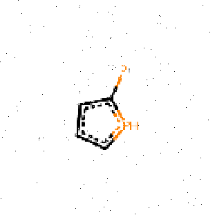 [P]c1ccc[pH]1